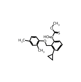 COC(=S)N(O)c1cccc(C2CC2)c1COc1ccc(C)cc1C